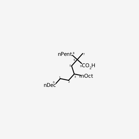 CCCCCCCCCCCCC(CCCCCCCC)CC(C)(CCCCC)C(=O)O